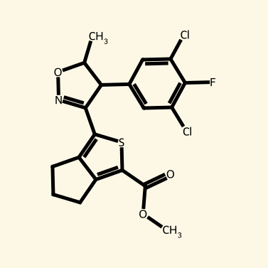 COC(=O)c1sc(C2=NOC(C)C2c2cc(Cl)c(F)c(Cl)c2)c2c1CCC2